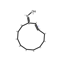 ON=C1/C=C/CCCCCCCCC1